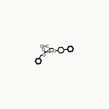 O=C[C@H](COC1CCC(c2ccccc2)CC1)NC(=O)OCc1ccccc1